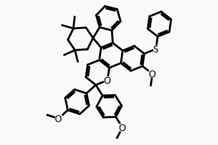 COc1ccc(C2(c3ccc(OC)cc3)C=Cc3c4c(c5cc(Sc6ccccc6)c(OC)cc5c3O2)-c2ccccc2C42CC(C)(C)CC(C)(C)C2)cc1